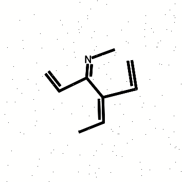 C=CC(=C/C)/C(C=C)=N\C